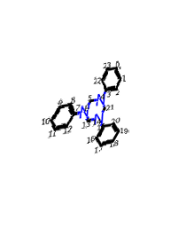 [c]1ccc(N2CN(c3ccccc3)CN(c3ccccc3)C2)cc1